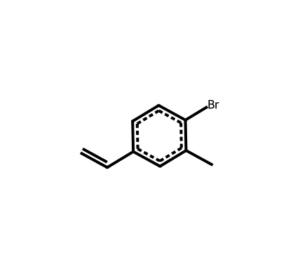 C=Cc1ccc(Br)c(C)c1